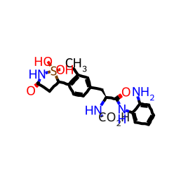 Cc1cc(C[C@H](NC(=O)O)C(=O)Nc2ccccc2N)ccc1C1CC(=O)NS1(O)O